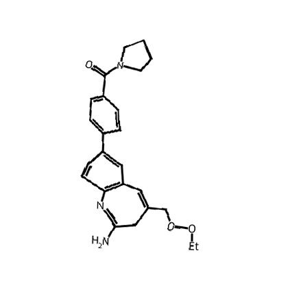 CCOOCC1=Cc2cc(-c3ccc(C(=O)N4CCCC4)cc3)ccc2N=C(N)C1